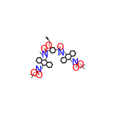 C#CCOc1cc(C(=O)N(C)Cc2c3ccccc3c(CN(C)C(=O)OC(C)(C)C)c3ccccc23)ccc1C(=O)N(CC)Cc1c2ccccc2c(CN(C)C(=O)OC(C)(C)C)c2ccccc12